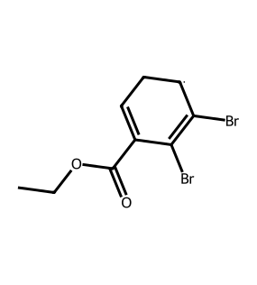 CCOC(=O)C1=CC[CH]C(Br)=C1Br